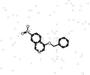 O=[N+]([O-])c1ccc2c(OCc3ccccc3)cncc2c1